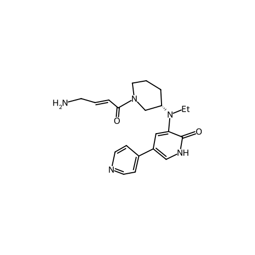 CCN(c1cc(-c2ccncc2)c[nH]c1=O)[C@H]1CCCN(C(=O)/C=C/CN)C1